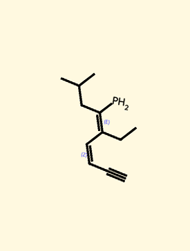 C#C/C=C\C(CC)=C(\P)CC(C)C